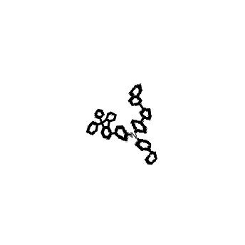 c1ccc(-c2ccc(N(c3ccc(-c4cccc(-c5ccc6ccccc6c5)c4)cc3)c3ccc(-c4cccc5c4-c4ccccc4C5(c4ccccc4)c4ccccc4)cc3)cc2)cc1